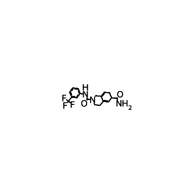 NC(=O)C1C=C2CCN(C(=O)Nc3cccc(C(F)(F)F)c3)CC2=CC1